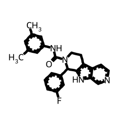 Cc1cc(C)cc(NC(=O)N2CCc3c([nH]c4cnccc34)C2c2cccc(F)c2)c1